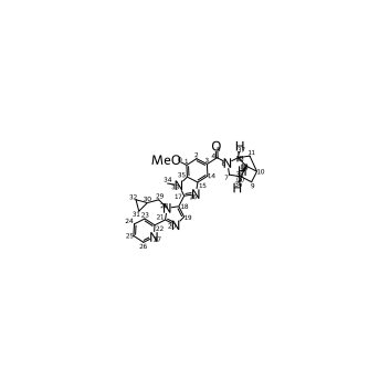 COc1cc(C(=O)N2C[C@H]3CC4C[C@@H]2[C@H]43)cc2nc(-c3cnc(-c4ccccn4)n3CC3CC3)n(C)c12